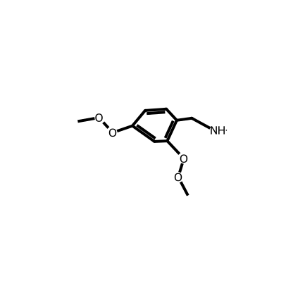 COOc1ccc(C[NH])c(OOC)c1